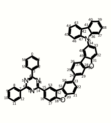 c1ccc(-c2nc(-c3ccccc3)nc(-c3ccc4oc5ccc(-c6ccc7c(c6)oc6ccc(-n8c9ccccc9c9ccccc98)cc67)cc5c4c3)n2)cc1